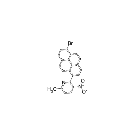 Cc1ccc([N+](=O)[O-])c(-c2ccc3ccc4c(Br)ccc5ccc2c3c54)n1